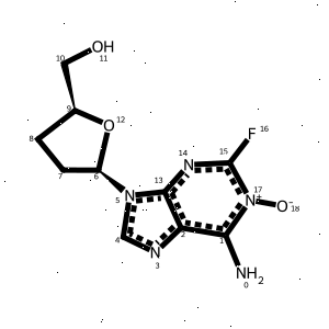 Nc1c2ncn([C@H]3CC[C@@H](CO)O3)c2nc(F)[n+]1[O-]